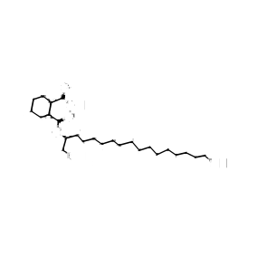 CCCCCCCCCCCCCCCCC(CC)OC(=O)C1CCCCC1C(=O)O